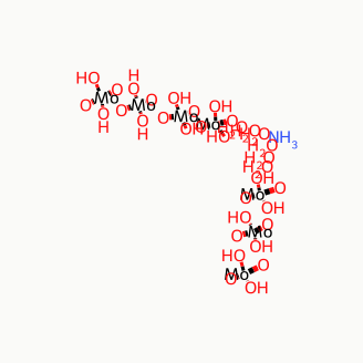 N.O.O.O.O.O.O.[O]=[Mo](=[O])([OH])[OH].[O]=[Mo](=[O])([OH])[OH].[O]=[Mo](=[O])([OH])[OH].[O]=[Mo](=[O])([OH])[OH].[O]=[Mo](=[O])([OH])[OH].[O]=[Mo](=[O])([OH])[OH].[O]=[Mo](=[O])([OH])[OH]